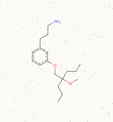 CCCC(CCC)(COc1cccc(CCCN)c1)OC